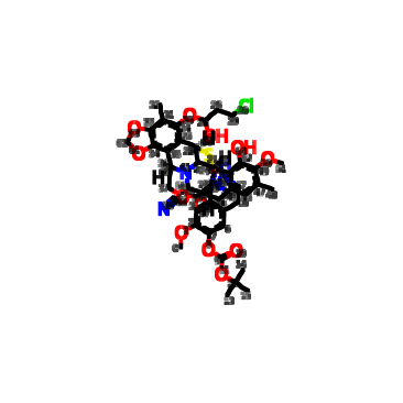 COc1cc2c(cc1OC(=O)OC(C)(C)C)CCN[C@]21CS[C@@H]2c3c(OC(O)CCCl)c(C)c4c(c3[C@H](COC1=O)N1C2[C@@H]2c3c(cc(C)c(OC)c3O)C[C@@H]([C@@H]1C#N)N2C)OCO4